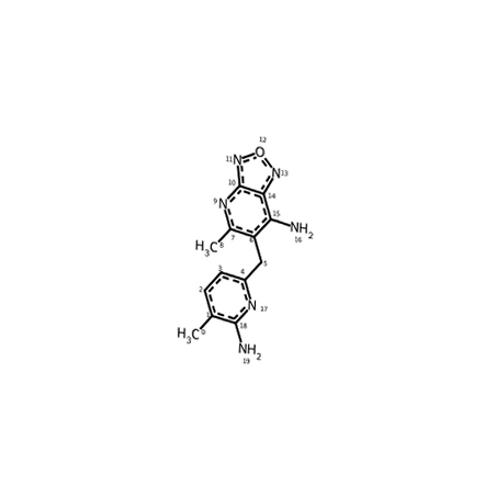 Cc1ccc(Cc2c(C)nc3nonc3c2N)nc1N